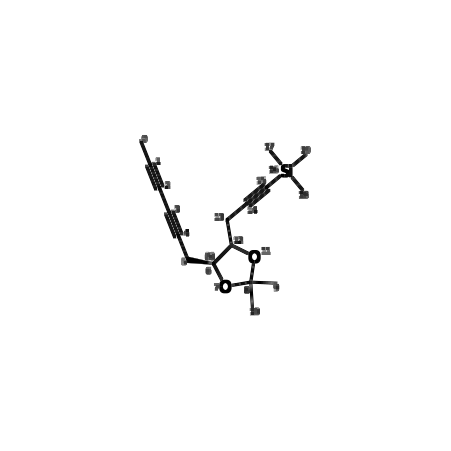 CC#CC#CC[C@@H]1OC(C)(C)OC1CC#C[Si](C)(C)C